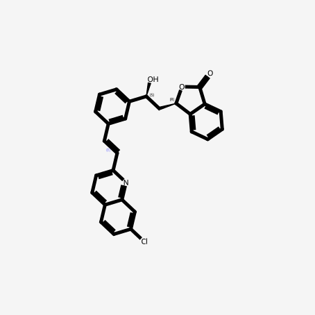 O=C1O[C@H](C[C@H](O)c2cccc(/C=C/c3ccc4ccc(Cl)cc4n3)c2)c2ccccc21